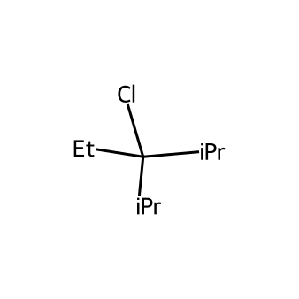 CCC(Cl)(C(C)C)C(C)C